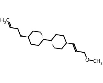 C=CCC[C@H]1CC[C@H]([C@H]2CC[C@H](/C=C/COC)CC2)CC1